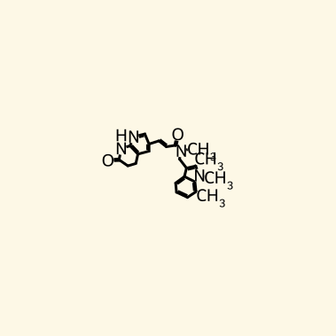 Cc1cccc2c(CN(C)C(=O)C=Cc3cnc4c(c3)CCC(=O)N4)c(C)n(C)c12